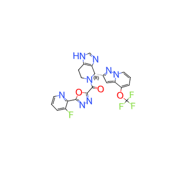 O=C(c1nnc(-c2ncccc2F)o1)N1CCc2[nH]cnc2[C@@H]1c1cc2c(OC(F)(F)F)cccn2n1